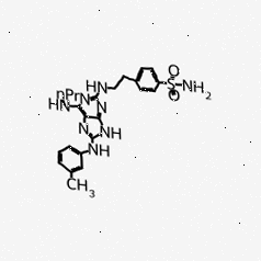 CCCNc1nc(NCCc2ccc(S(N)(=O)=O)cc2)nc2[nH]c(Nc3cccc(C)c3)nc12